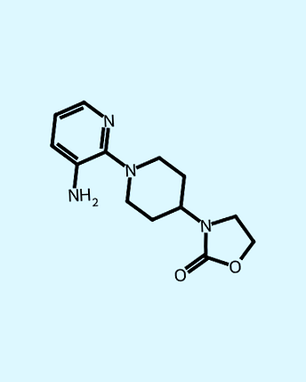 Nc1cccnc1N1CCC(N2CCOC2=O)CC1